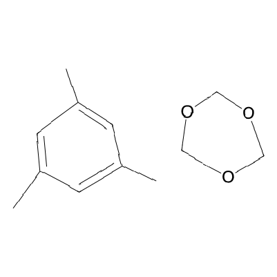 C1OCOCO1.Cc1cc(C)cc(C)c1